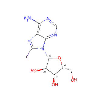 Nc1ncnc2c1nc(I)n2[C@@H]1O[C@H](CO)[C@@H](O)[C@H]1O